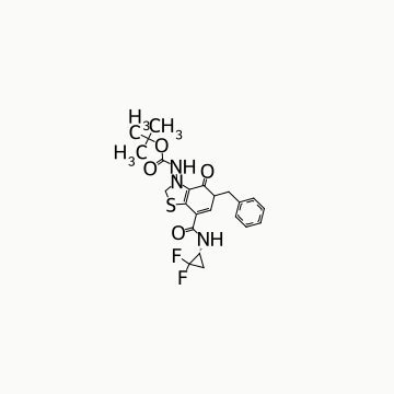 CC(C)(C)OC(=O)NN1CSC2=C1C(=O)C(Cc1ccccc1)C=C2C(=O)N[C@@H]1CC1(F)F